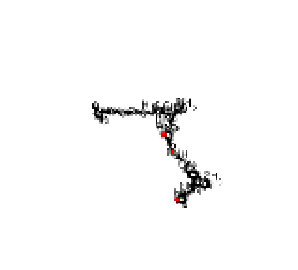 Cc1cccc(-c2nc(CNc3cccc(F)c3)[nH]c2-c2ccc3ncc(OCCNC(=O)OCc4ccc(NC(=O)C(CCCNC(N)=O)NC(=O)[C@@H](NC(=O)CCOCCOCCOCCOCCN5C(=O)C=CC5=O)C(C)C)cc4)cc3c2)n1